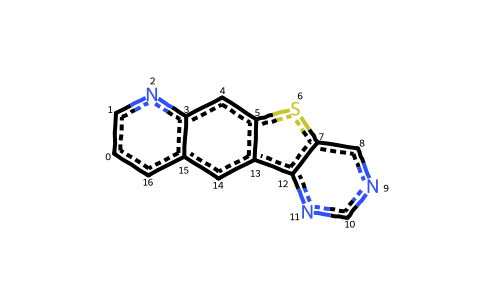 c1cnc2cc3sc4cncnc4c3cc2c1